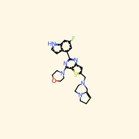 Fc1cc(-c2nc(N3CCOCC3)c3sc(CN4CCN5CCC=C5C4)cc3n2)c2cc[nH]c2c1